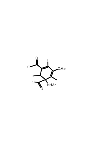 COC1=C(I)C(NC(C)=O)(C(=O)Cl)C(I)C(C(=O)Cl)=C1I